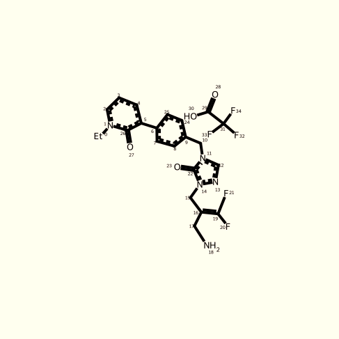 CCn1cccc(-c2ccc(Cn3cnn(CC(CN)=C(F)F)c3=O)cc2)c1=O.O=C(O)C(F)(F)F